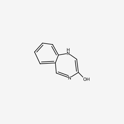 OC1=CNc2ccccc2C=N1